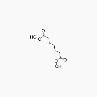 O=C(CCCCCC(=O)OO)OO